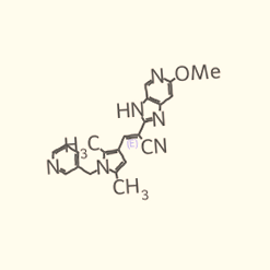 COc1cc2nc(/C(C#N)=C/c3cc(C)n(Cc4cccnc4)c3C)[nH]c2cn1